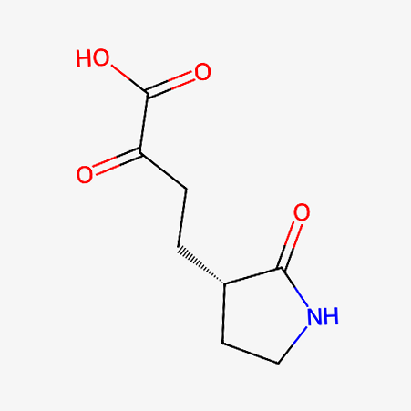 O=C(O)C(=O)CC[C@H]1CCNC1=O